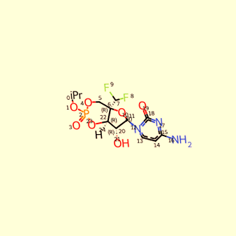 CC(C)OP1(=O)OC[C@@]2(C(F)F)O[C@@H](n3ccc(N)nc3=O)[C@H](O)[C@H]2O1